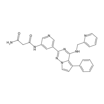 NC(=O)CC(=O)Nc1cncc(-c2nc(NCc3ccccn3)c3c(-c4ccccc4)ccn3n2)c1